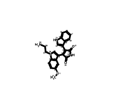 COc1ccc2c(c1)c(C1=C(c3c[nH]c4ccccc34)C(=O)NC1=O)cn2CCN